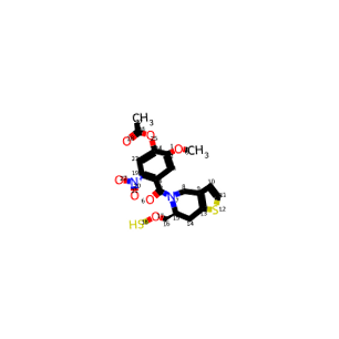 COc1cc(C(=O)N2Cc3ccsc3C[C@H]2COS)c([N+](=O)[O-])cc1OC(C)=O